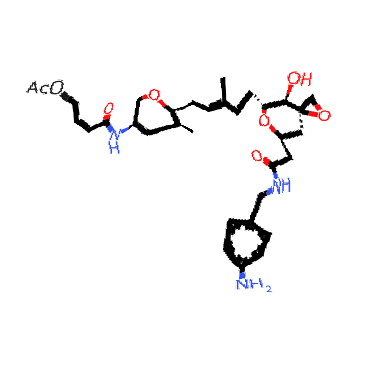 CC(=O)OC/C=C\C(=O)N[C@H]1CO[C@@H](C/C=C(C)/C=C/[C@H]2O[C@H](CC(=O)NCc3ccc(N)cc3)C[C@@]3(CO3)[C@@H]2O)[C@@H](C)C1